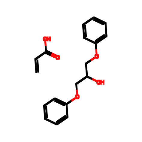 C=CC(=O)O.OC(COc1ccccc1)COc1ccccc1